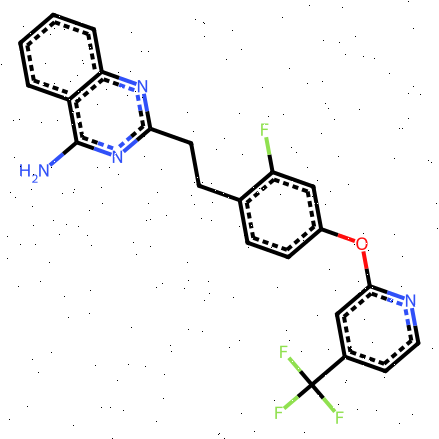 Nc1nc(CCc2ccc(Oc3cc(C(F)(F)F)ccn3)cc2F)nc2ccccc12